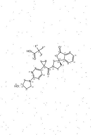 O=C(O)C(F)(F)F.O=C1O[C@]2(CCN(C(=O)C3(c4ccc(N5CC[C@H](O)C5)nc4)CC3)C2)c2ccccc21